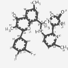 Cc1cc([C@@H](C)Nc2ccc(C)nc2-c2noc(=O)[nH]2)c2oc(-c3ccc(F)c(F)c3)c(C)c(=O)c2c1